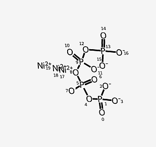 O=P([O-])([O-])OP(=O)([O-])OP(=O)([O-])OP(=O)([O-])[O-].[Ni+2].[Ni+2].[Ni+2]